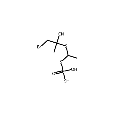 CC(SC(C)(C#N)CBr)SP(=O)(O)S